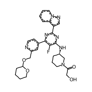 O=C(CO)N1CCC[C@@H](Nc2nc(-c3cnn4ccccc34)nc(-c3ccnc(COC4CCCCO4)c3)c2F)C1